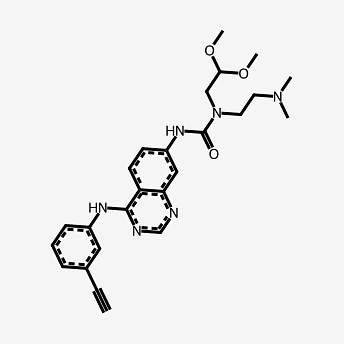 C#Cc1cccc(Nc2ncnc3cc(NC(=O)N(CCN(C)C)CC(OC)OC)ccc23)c1